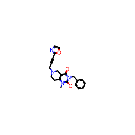 Cn1c2c(c(=O)n(Cc3ccccc3)c1=O)CN(CC#Cc1ncco1)CC2